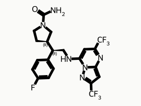 NC(=O)N1CC[C@H]([C@@H](CNc2cc(C(F)(F)F)nc3cc(C(F)(F)F)nn23)c2ccc(F)cc2)C1